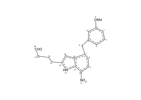 COc1cccc(Sc2ccc([N+](=O)[O-])c3[nH]c(CCOC=O)cc23)c1